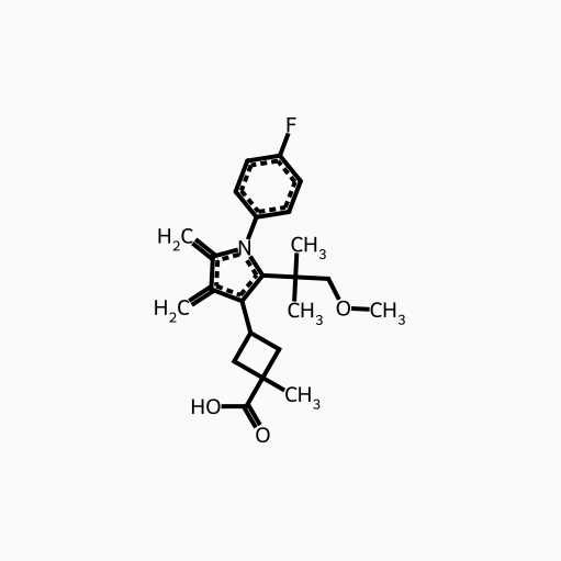 C=c1c(C2CC(C)(C(=O)O)C2)c(C(C)(C)COC)n(-c2ccc(F)cc2)c1=C